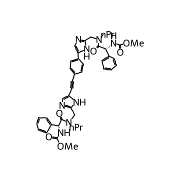 CCCN(Cc1ncc(C#Cc2ccc(-c3cnc(CN(CCC)C(=O)[C@H](NC(=O)OC)c4ccccc4)[nH]3)cc2)[nH]1)C(=O)[C@H](NC(=O)OC)c1ccccc1